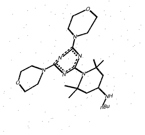 CCCCNC1CC(C)(C)N(c2nc(N3CCOCC3)nc(N3CCOCC3)n2)C(C)(C)C1